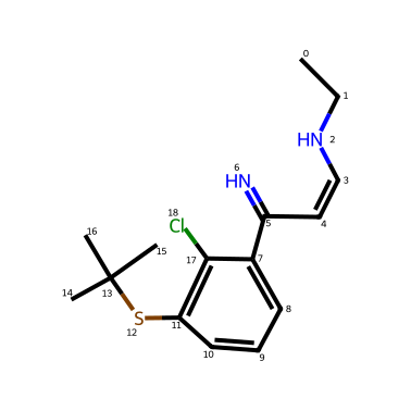 CCN/C=C\C(=N)c1cccc(SC(C)(C)C)c1Cl